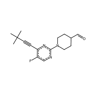 CC(C)(C)C#Cc1nc(N2CCC(C=O)CC2)ncc1F